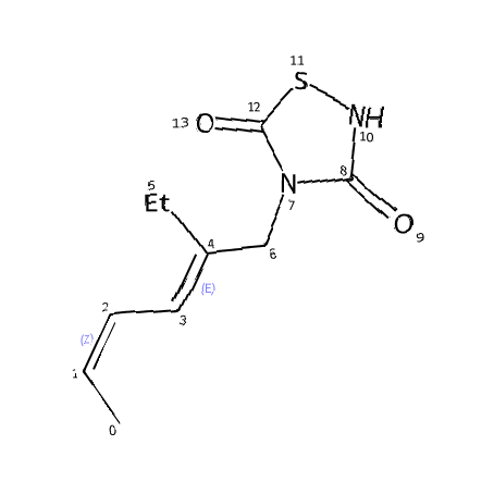 C/C=C\C=C(/CC)Cn1c(=O)[nH]sc1=O